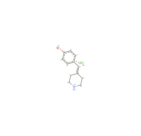 Brc1ccc(C=C2CCNCC2)cc1.Cl